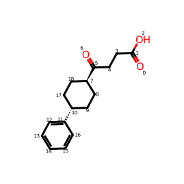 O=C(O)CCC(=O)[C@H]1CC[C@H](c2ccccc2)CC1